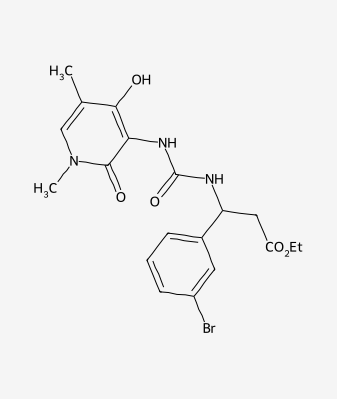 CCOC(=O)CC(NC(=O)Nc1c(O)c(C)cn(C)c1=O)c1cccc(Br)c1